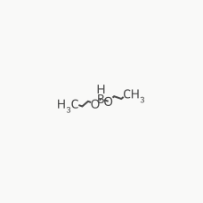 CCCOBOCCC